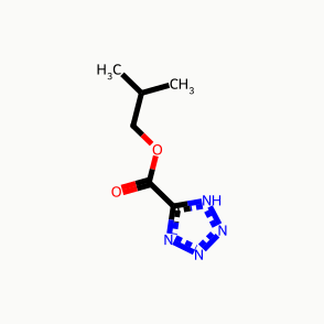 CC(C)COC(=O)c1nnn[nH]1